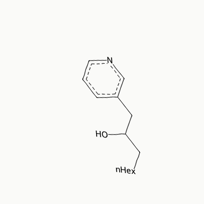 CCCCCCCC(O)Cc1cccnc1